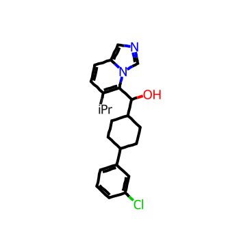 CC(C)c1ccc2cncn2c1C(O)C1CCC(c2cccc(Cl)c2)CC1